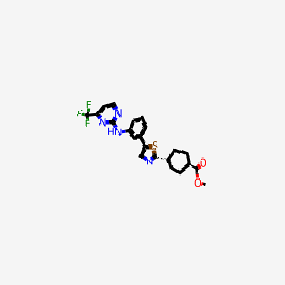 COC(=O)[C@H]1CC[C@H](c2ncc(-c3cccc(Nc4nccc(C(F)(F)F)n4)c3)s2)CC1